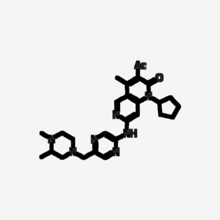 CC(=O)c1c(C)c2cnc(Nc3cnc(CN4CCN(C)C(C)C4)cn3)cc2n(C2CCCC2)c1=O